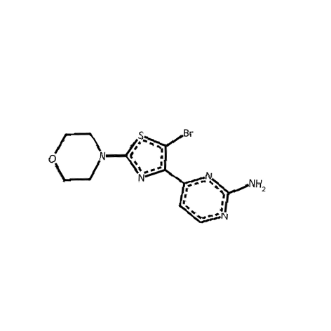 Nc1nccc(-c2nc(N3CCOCC3)sc2Br)n1